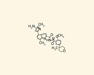 COc1ccc(C2(C)CCOCC2)cc1S(=O)(=O)NC(=O)c1ccc2c(-c3cc(N)n(C)n3)ccc(C)c2n1